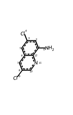 Nc1cc(Cl)cc2cc(Cl)cnc12